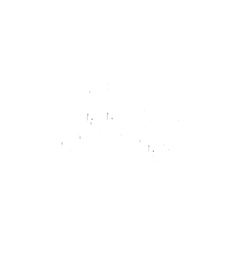 c1ccc(-c2cc(-c3ccc(-n4c5ccccc5c5ccc6sc7ccccc7c6c54)cc3)nc(-c3ccccc3)n2)cc1